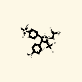 COc1ccc(-c2c(-c3ccc(S(C)(=O)=O)cc3)nn(CC(=O)O)c2C(F)(F)F)cc1